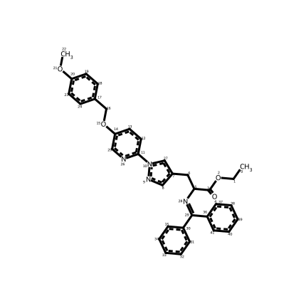 CCOC(=O)C(Cc1cnn(-c2ccc(OCc3ccc(OC)cc3)cn2)c1)N=C(c1ccccc1)c1ccccc1